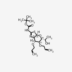 C=CCO[C@@H]1[C@H]2N=C(NC(=O)OC(C)(C)C)S[C@H]2O[C@H](C(C)O)[C@H]1OCC=C